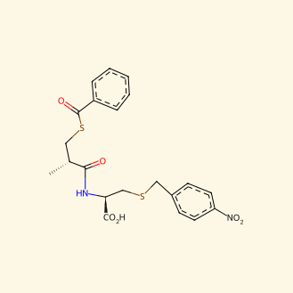 C[C@H](CSC(=O)c1ccccc1)C(=O)N[C@@H](CSCc1ccc([N+](=O)[O-])cc1)C(=O)O